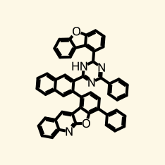 c1ccc(C2=NC(c3cccc4oc5ccccc5c34)NC(c3cc4ccccc4cc3-c3ccc(-c4ccccc4)c4oc5nc6ccccc6cc5c34)=N2)cc1